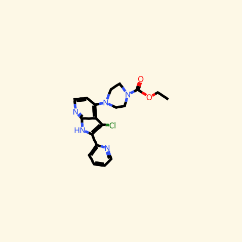 CCOC(=O)N1CCN(c2ccnc3[nH]c(-c4ccccn4)c(Cl)c23)CC1